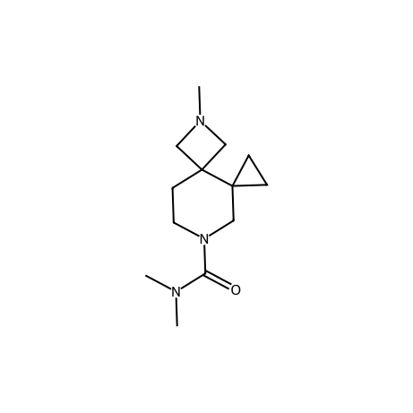 CN1CC2(CCN(C(=O)N(C)C)CC23CC3)C1